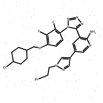 CCC1CCC(COc2ccc(-n3nnnc3-c3cc(-c4cnn(CCC(C)C)c4)cnc3N)c(F)c2F)CC1